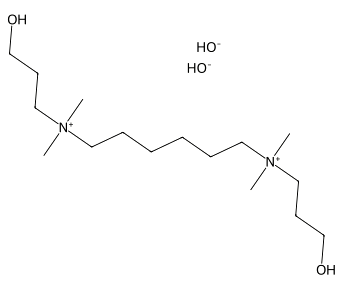 C[N+](C)(CCCO)CCCCCC[N+](C)(C)CCCO.[OH-].[OH-]